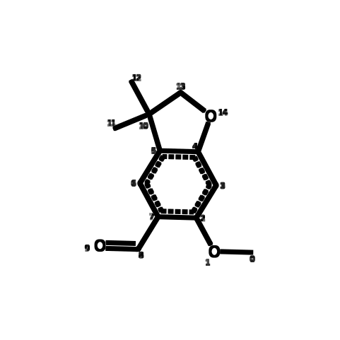 COc1cc2c(cc1C=O)C(C)(C)CO2